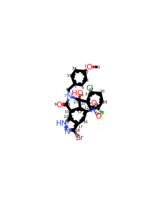 COc1ccc(CN2C(=O)c3c(c([N+](=O)[O-])cc4c(Br)n[nH]c34)C2(O)c2cc(F)ccc2Cl)cc1